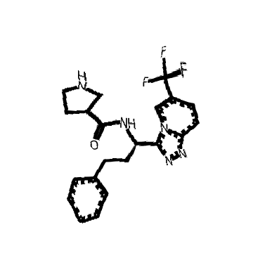 O=C(N[C@H](CCc1ccccc1)c1nnc2ccc(C(F)(F)F)cn12)C1CCNC1